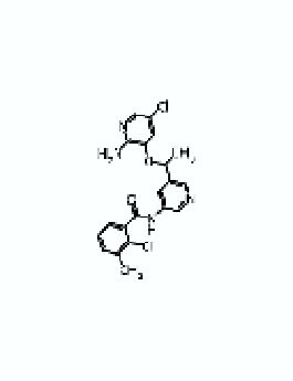 Cc1cccc(C(=O)Nc2cncc(C(C)Oc3cc(Cl)cnc3N)c2)c1Cl